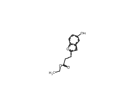 CCOC(=O)CCc1cc2cc(O)ccc2o1